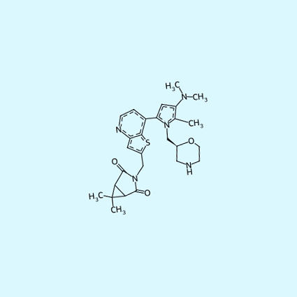 Cc1c(N(C)C)cc(-c2ccnc3cc(CN4C(=O)C5C(C4=O)C5(C)C)sc23)n1C[C@@H]1CNCCO1